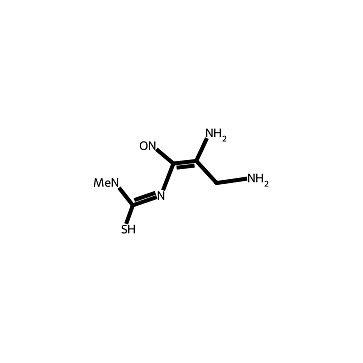 CN/C(S)=N\C(N=O)=C(\N)CN